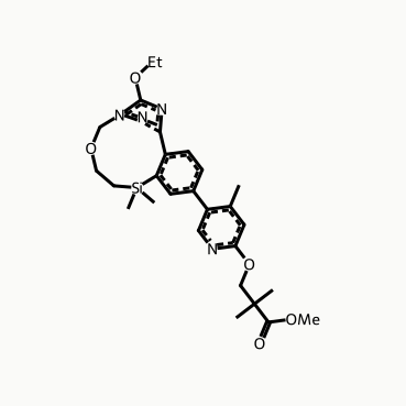 CCOc1nc2nn1COCC[Si](C)(C)c1cc(-c3cnc(OCC(C)(C)C(=O)OC)cc3C)ccc1-2